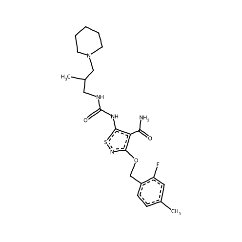 Cc1ccc(COc2nsc(NC(=O)NCC(C)CN3CCCCC3)c2C(N)=O)c(F)c1